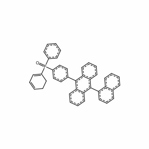 O=P(C1=CC=CCC1)(c1ccccc1)c1ccc(-c2c3ccccc3c(-c3cccc4ccccc34)c3ccccc23)cc1